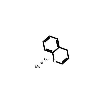 C1=COc2ccccc2C1.[Co].[Mo].[Ni]